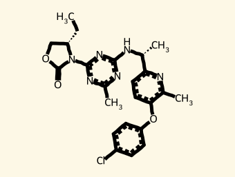 CC[C@H]1COC(=O)N1c1nc(C)nc(N[C@H](C)c2ccc(Oc3ccc(Cl)cc3)c(C)n2)n1